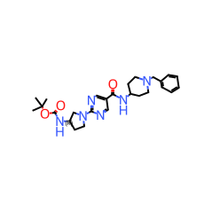 CC(C)(C)OC(=O)N[C@@H]1CCN(c2ncc(C(=O)NC3CCN(Cc4ccccc4)CC3)cn2)C1